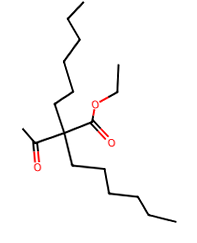 CCCCCCC(CCCCCC)(C(C)=O)C(=O)OCC